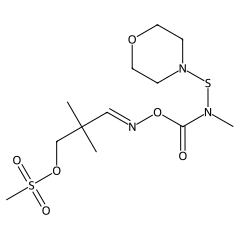 CN(SN1CCOCC1)C(=O)ON=CC(C)(C)COS(C)(=O)=O